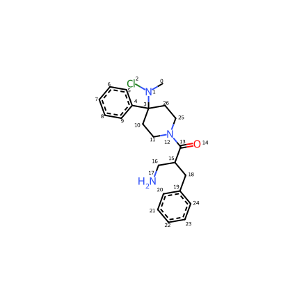 CN(Cl)C1(c2ccccc2)CCN(C(=O)C(CN)Cc2ccccc2)CC1